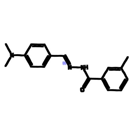 Cc1cccc(C(=O)N/N=C/c2ccc(N(C)C)cc2)c1